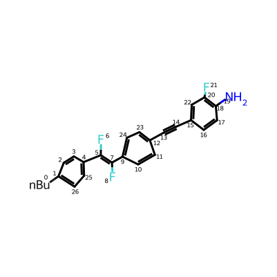 CCCCc1ccc(C(F)=C(F)c2ccc(C#Cc3ccc(N)c(F)c3)cc2)cc1